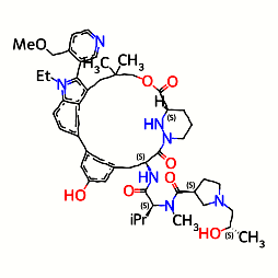 CCn1c(-c2cnccc2COC)c2c3cc(ccc31)-c1cc(O)cc(c1)C[C@H](NC(=O)[C@H](C(C)C)N(C)C(=O)[C@H]1CCN(C[C@H](C)O)C1)C(=O)N1CCC[C@H](N1)C(=O)OCC(C)(C)C2